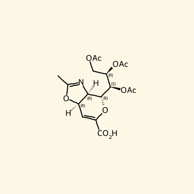 CC(=O)OC[C@@H](OC(C)=O)[C@@H](OC(C)=O)[C@@H]1OC(C(=O)O)=C[C@H]2OC(C)=N[C@@H]12